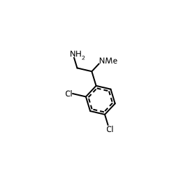 CNC(CN)c1ccc(Cl)cc1Cl